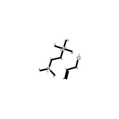 C=CCCl.CN(C)CC[N+](C)(C)C